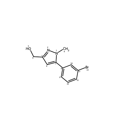 Cn1nc(CO)cc1-c1cccc(Br)c1